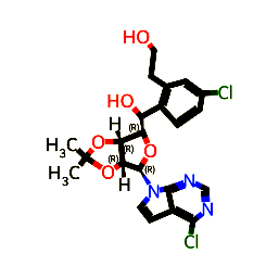 CC1(C)O[C@@H]2[C@H](O1)[C@@H](C(O)c1ccc(Cl)cc1CCO)O[C@H]2n1ccc2c(Cl)ncnc21